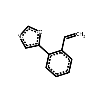 C=Cc1ccccc1-c1cnco1